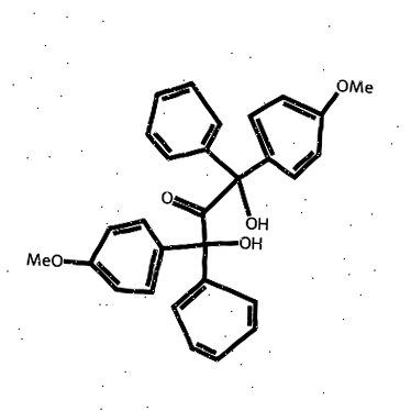 COc1ccc(C(O)(C(=O)C(O)(c2ccccc2)c2ccc(OC)cc2)c2ccccc2)cc1